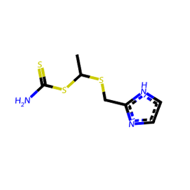 CC(SCc1ncc[nH]1)SC(N)=S